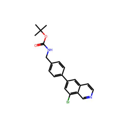 CC(C)(C)OC(=O)NCc1ccc(-c2cc(Br)c3cnccc3c2)cc1